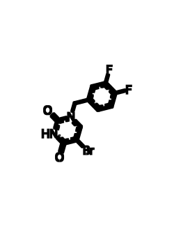 O=c1[nH]c(=O)n(Cc2ccc(F)c(F)c2)cc1Br